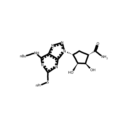 CCCCNc1nc(SCCC)nc2c1nnn2[C@@H]1C[C@H](C(N)=O)[C@@H](O)[C@H]1O